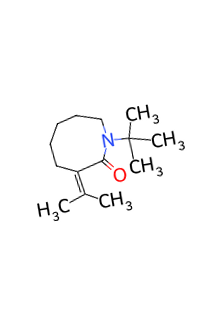 CC(C)=C1CCCCCN(C(C)(C)C)C1=O